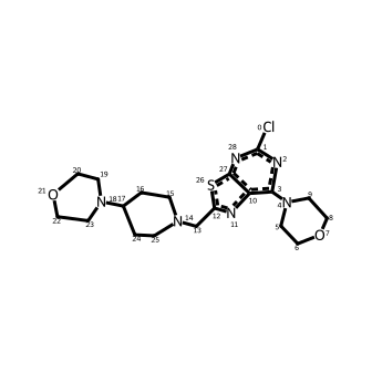 Clc1nc(N2CCOCC2)c2nc(CN3CCC(N4CCOCC4)CC3)sc2n1